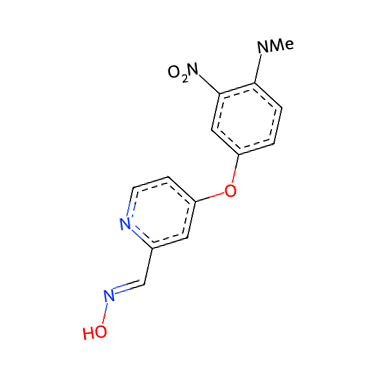 CNc1ccc(Oc2ccnc(C=NO)c2)cc1[N+](=O)[O-]